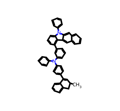 CC1C=C(c2ccc(N(c3ccccc3)c3cccc(-c4cccc5c4c4cc6ccccc6cc4n5-c4ccccc4)c3)cc2)c2ccccc2C1